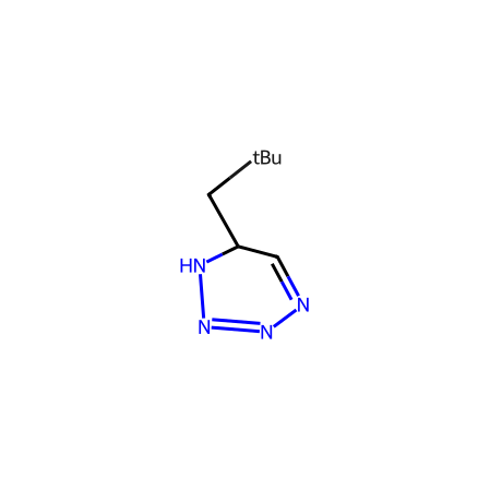 CC(C)(C)CC1C=NN=NN1